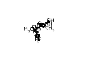 Cc1cc2c(CCc3sc(-c4ccc(C(F)(F)F)cc4)nc3C(C)C)noc2cc1NCC(=O)O